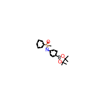 CC1(C)OB(c2ccc(N=S(C)(=O)c3ccccc3)cc2)OC1(C)C